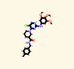 COc1cc(Nc2ncc(Cl)c(N3CCCC(C(=O)NCc4ccc(C)cc4)C3)n2)cc(OC)c1OC